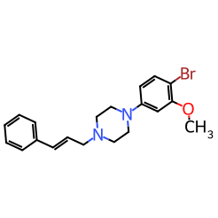 COc1cc(N2CCN(C/C=C/c3ccccc3)CC2)ccc1Br